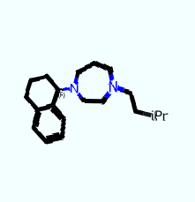 CC(C)CCN1CCCN([C@@H]2CCCc3ccccc32)CC1